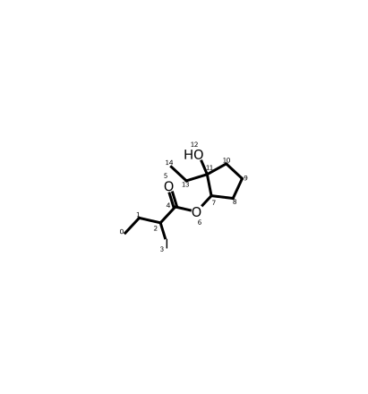 CCC(I)C(=O)OC1CCCC1(O)CC